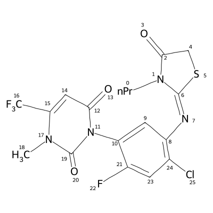 CCCN1C(=O)CSC1=Nc1cc(-n2c(=O)cc(C(F)(F)F)n(C)c2=O)c(F)cc1Cl